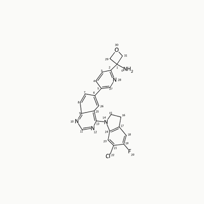 NC1(c2ccc(-c3ccc4ncnc(N5CCc6cc(F)c(Cl)cc65)c4c3)cn2)COC1